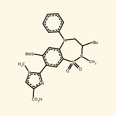 CCCCC1CN(c2ccccc2)c2cc(SC)c(-c3nc(C(=O)O)cn3C)cc2S(=O)(=O)N1C